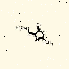 COC=C1N=C(C)OC1=O